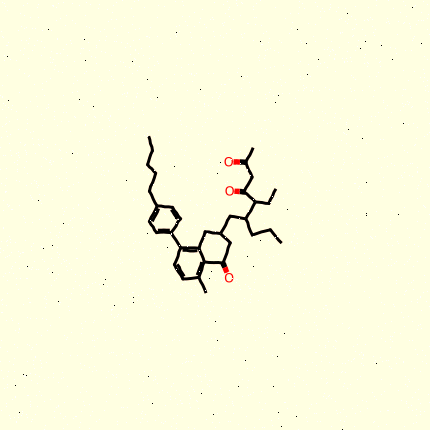 CCCCCc1ccc(-c2ccc(C)c3c2CC(CC(CCC)C(CC)C(=O)CC(C)=O)CC3=O)cc1